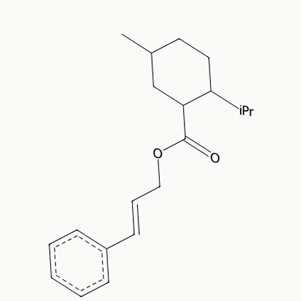 CC1CCC(C(C)C)C(C(=O)OC/C=C/c2ccccc2)C1